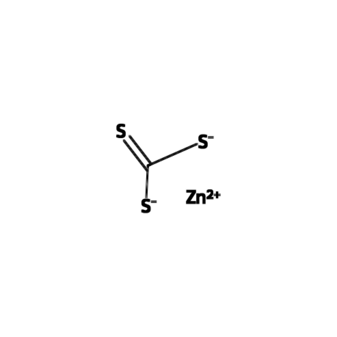 S=C([S-])[S-].[Zn+2]